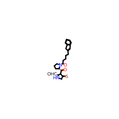 O=C[C@H]1NCC(=S)C1C(=O)[C@@H]1CCCN1C(=O)CCCCC1=Cc2ccccc2C1